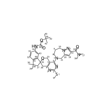 CSc1nc2c(c(N3CCCn4nc(C(=O)N(C)C)cc4C3)n1)COC1(C2)CC(C)(C)c2ccc(NC(=O)OC(C)(C)C)cc21